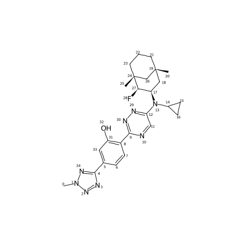 Cn1nnc(-c2ccc(-c3ncc(N(C4CC4)[C@@H]4C[C@@]5(C)CCC[C@](C)(C5)[C@@H]4F)nn3)c(O)c2)n1